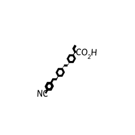 C=CC(C(=O)O)[C@H]1CC[C@H](CC[C@H]2CC[C@H](CCc3ccc(C#N)cc3)CC2)CC1